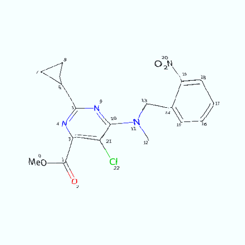 COC(=O)c1nc(C2CC2)nc(N(C)Cc2ccccc2[N+](=O)[O-])c1Cl